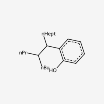 CCCCCCCC(c1ccccc1O)C(CCC)CCCC